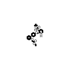 CCOC(=O)COc1ccccc1[C@H]1CC[C@@H](OC[C@@H]2NCCC[C@@H]2NC(=O)OC(C)(C)C)CC1